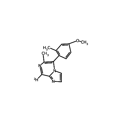 [2H]c1nc(C)c(-c2ccc(OC)cc2C)n2ccnc12